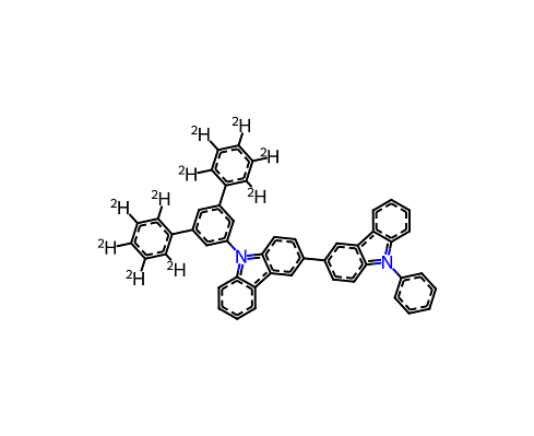 [2H]c1c([2H])c([2H])c(-c2cc(-c3c([2H])c([2H])c([2H])c([2H])c3[2H])cc(-n3c4ccccc4c4cc(-c5ccc6c(c5)c5ccccc5n6-c5ccccc5)ccc43)c2)c([2H])c1[2H]